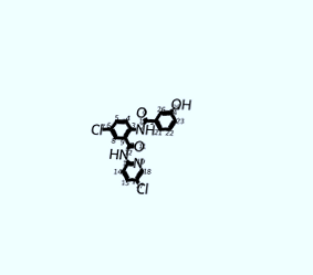 O=C(Nc1ccc(Cl)cc1C(=O)Nc1ccc(Cl)cn1)c1cccc(O)c1